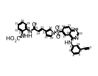 C#Cc1cccc(Nc2ncnc3ccc(S(=O)(=O)n4ccc(/C=C/C(=O)Nc5ccccc5NC(=O)O)c4)cc23)c1